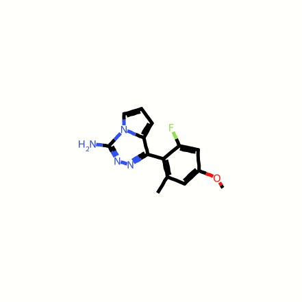 COc1cc(C)c(-c2nnc(N)n3cccc23)c(F)c1